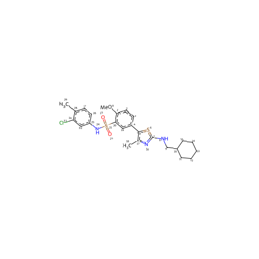 COc1ccc(-c2sc(NCC3CCCCC3)nc2C)cc1S(=O)(=O)Nc1ccc(C)c(Cl)c1